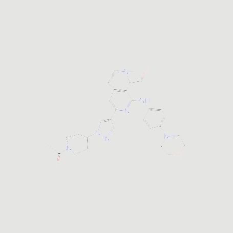 CC(=O)N1CCC(n2cc(-c3cc4c(c(Nc5ccc(N6CCOCC6)cc5)n3)C(C=O)NC=C4)cn2)CC1